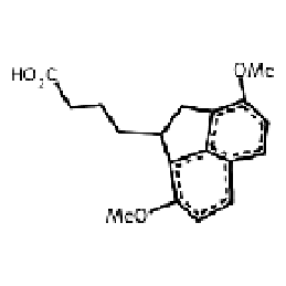 COc1ccc2ccc(OC)c3c2c1CC3CCCC(=O)O